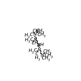 CCN(CCN(CCNCCN(CCN(C(C)C)C(C)C)C(C)C)C(C)C)C(C)C